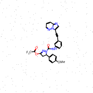 COc1ccc(C2CC(OC(=O)C(F)(F)F)=NN2C(=O)Nc2cccc(C#Cc3cnc4cccnn34)c2)cc1